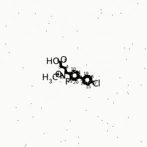 CON=C(CCC(=O)O)c1ccc(-c2ccc(Cl)cc2)cc1F